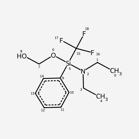 CCN(CC)[Si](OCO)(c1ccccc1)C(F)(F)F